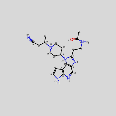 CC(=O)N(C)CCc1nc2cnc3[nH]ccc3c2n1C1CCN(C(C)CC#N)CC1